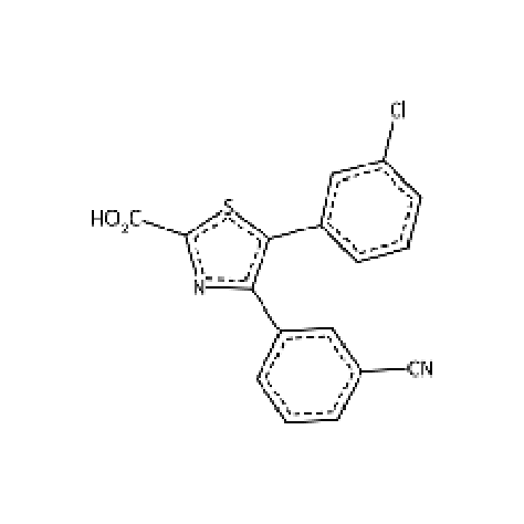 N#Cc1cccc(-c2nc(C(=O)O)sc2-c2cccc(Cl)c2)c1